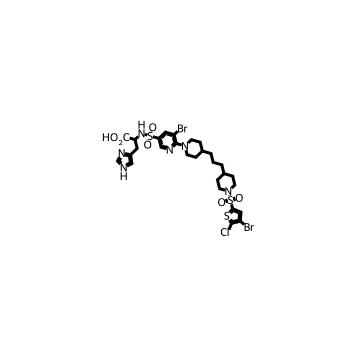 O=C(O)C(Cc1c[nH]cn1)NS(=O)(=O)c1cnc(N2CCC(CCCC3CCN(S(=O)(=O)c4cc(Br)c(Cl)s4)CC3)CC2)c(Br)c1